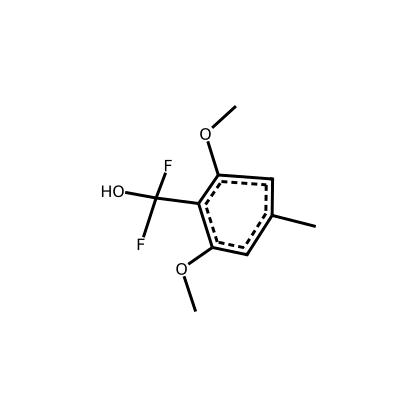 COc1cc(C)cc(OC)c1C(O)(F)F